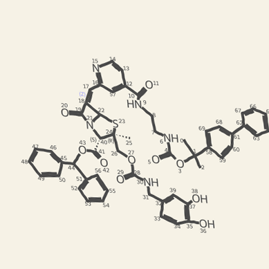 CC(C)(OC(=O)NCCNC(=O)c1ccnc(/C=C2/C(=O)N3C2S[C@@](C)(COC(=O)NCc2ccc(O)c(O)c2)[C@@H]3C(=O)OC(c2ccccc2)c2ccccc2)c1)c1ccc(-c2ccccc2)cc1